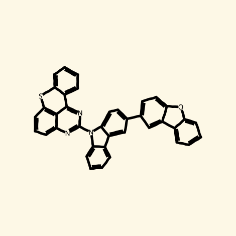 c1ccc2c(c1)Sc1cccc3nc(-n4c5ccccc5c5cc(-c6ccc7oc8ccccc8c7c6)ccc54)nc-2c13